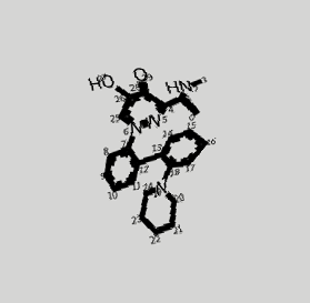 C=C(NC)c1nn(-c2ccccc2-c2ccccc2N2CCCCC2)cc(O)c1=O